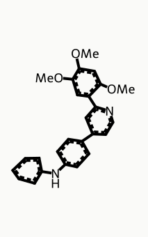 COc1cc(OC)c(-c2cc(-c3ccc(Nc4ccccc4)cc3)ccn2)cc1OC